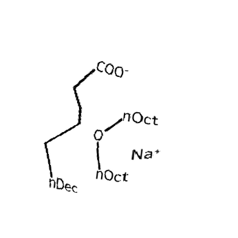 CCCCCCCCCCCCCC(=O)[O-].CCCCCCCCOCCCCCCCC.[Na+]